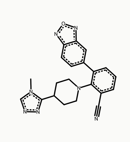 Cn1cnnc1C1CCN(c2c(C#N)cccc2-c2ccc3nonc3c2)CC1